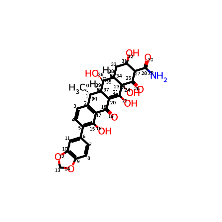 C[C@H]1c2ccc(-c3ccc4c(c3)OCO4)c(O)c2C(=O)C2=C(O)[C@]3(O)C(=O)C(C(N)=O)C(O)C[C@@H]3[C@@H](O)[C@@H]21